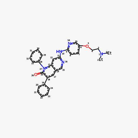 CCN(CC)CCOc1ccc(Nc2cc3c(cn2)cc(-c2ccccc2)c(=O)n3-c2ccccc2)nc1